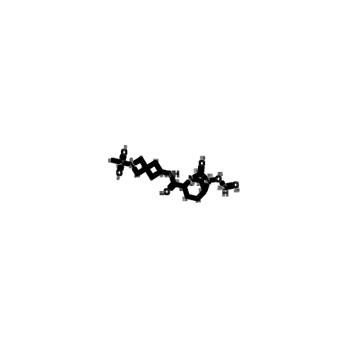 CS(=O)(=O)N1CC2(CC(NC(=O)C3CCC4CN3C(=O)N4O[SH]=O)C2)C1